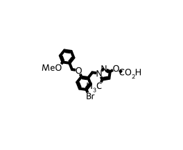 COc1ccccc1COc1ccc(Br)cc1Cn1nc(OC(=O)O)cc1C